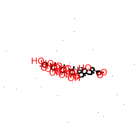 CC1OC(O[C@H]2CCC3(C)C4CCC5(C)[C@@H](C6=CC(=O)OC6)CC[C@]5(O)C4CC[C@H]3C2)[C@@H](O)[C@@H](OC2OC(C)C(O)[C@H](OC3OC(C)C(O)[C@H](O[C@@H]4C=C[C@H](O)[C@H](C)O4)[C@@H]3O)[C@@H]2O)C1O